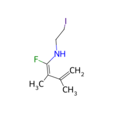 C=C(C)/C(C)=C(/F)NCCI